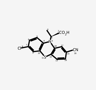 C[C@@H](C(=O)O)N1c2ccc(Cl)cc2Sc2ccc(C#N)cc21